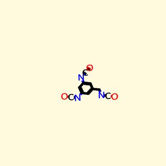 O=C=NCc1cc(N=C=O)cc(N=C=O)c1